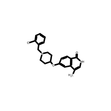 Cc1c[nH]c(=O)c2ccc(OC3CCN(Cc4ccccc4Cl)CC3)cc12